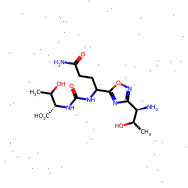 CC(O)[C@H](NC(=O)NC(CCC(N)=O)c1nc([C@@H](N)C(C)O)no1)C(=O)O